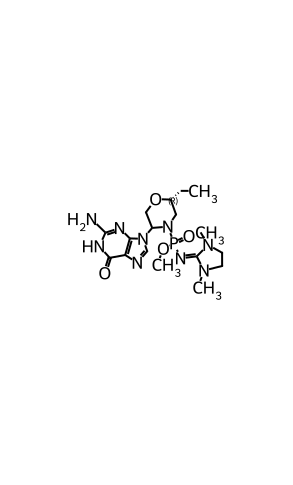 CC[C@@H]1CN(P(=O)(N=C2N(C)CCN2C)OC)C(n2cnc3c(=O)[nH]c(N)nc32)CO1